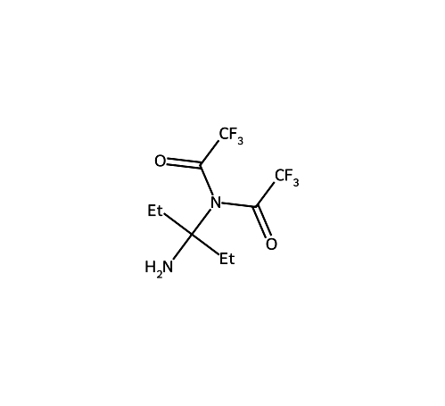 CCC(N)(CC)N(C(=O)C(F)(F)F)C(=O)C(F)(F)F